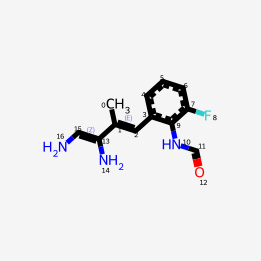 CC(=C\c1cccc(F)c1NC=O)/C(N)=C/N